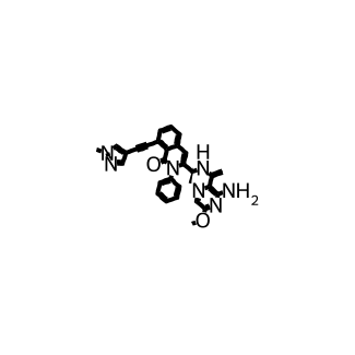 C=C(N[C@@H](C)c1cc2cccc(C#Cc3cnn(C)c3)c2c(=O)n1-c1ccccc1)c1ncc(OC)nc1N